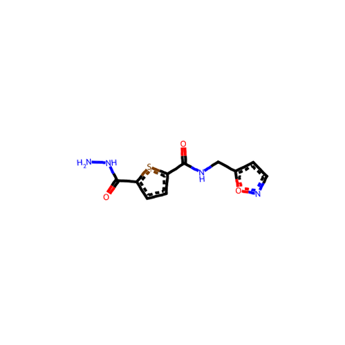 NNC(=O)c1ccc(C(=O)NCc2ccno2)s1